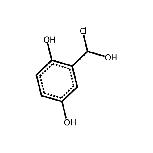 Oc1ccc(O)c(C(O)Cl)c1